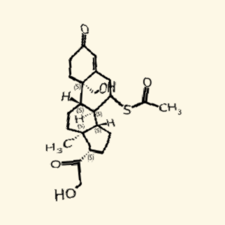 CC(=O)SC1CC2=CC(=O)CC[C@]2(CO)[C@H]2CC[C@]3(C)[C@@H](C(=O)CO)CC[C@H]3[C@H]12